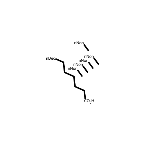 CCCCCCCCCC.CCCCCCCCCC.CCCCCCCCCC.CCCCCCCCCC.CCCCCCCCCC.CCCCCCCCCCCCCCCC(=O)O